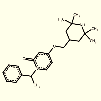 CC(c1ccccc1)n1ccc(OCC2CC(C)(C)NC(C)(C)C2)cc1=O